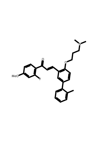 COc1ccc(C(=O)C=Cc2cc(-c3ccccc3C)ccc2OCCCN(C)C)c(F)c1